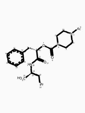 CC(=O)N1CCN(C(=O)O[C@@H](Cc2ccccc2)C(=O)N[C@@H](CC(C)C)C(=O)O)CC1